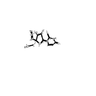 [N-]=[N+]=N[C@]1(CO)OC(n2ccc(=O)[nH]c2=O)[C@H](Cl)[C@@H]1O